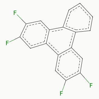 Fc1cc2c3ccccc3c3cc(F)c(F)cc3c2cc1F